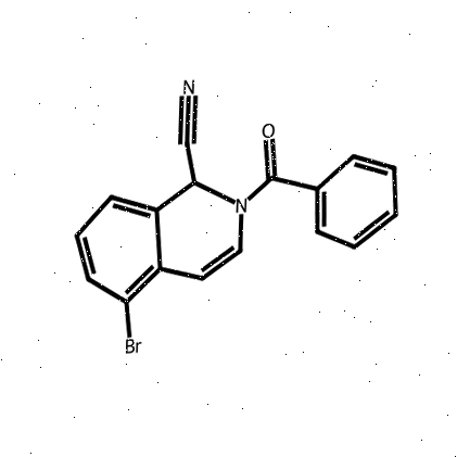 N#CC1c2cccc(Br)c2C=CN1C(=O)c1ccccc1